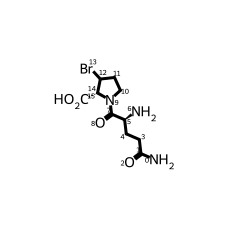 NC(=O)CC[C@H](N)C(=O)N1CCC(Br)[C@H]1C(=O)O